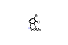 CO/N=C\c1ccc(Br)c(Cl)c1F